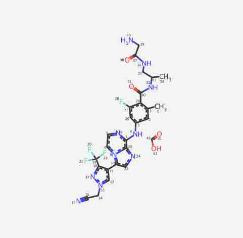 Cc1cc(Nc2nccn3c(-c4cn(CC#N)nc4C(F)(F)F)cnc23)cc(F)c1C(=O)NC(C)CNC(=O)CN.O=CO